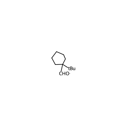 CC(C)(C)C1([C]=O)CCCCC1